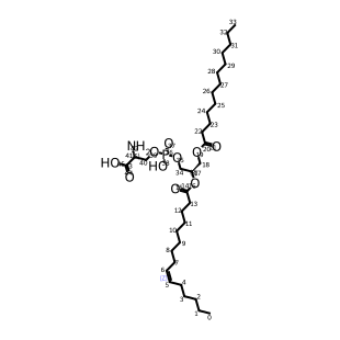 CCCCC/C=C\CCCCCCCC(=O)O[C@H](COC(=O)CCCCCCCCCCCC)COP(=O)(O)OC[C@H](N)C(=O)O